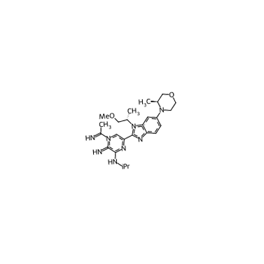 COC[C@H](C)n1c(-c2cn(C(C)=N)c(=N)c(NC(C)C)n2)nc2ccc(N3CCOC[C@@H]3C)cc21